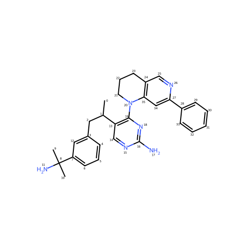 CC(Cc1cccc(C(C)(C)N)c1)c1cnc(N)nc1N1CCCc2cnc(-c3ccccc3)cc21